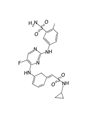 Cc1ccc(Nc2ncc(F)c(NC3=CC=CC(=CS(=O)(=O)NC4CC4)C3)n2)cc1S(N)(=O)=O